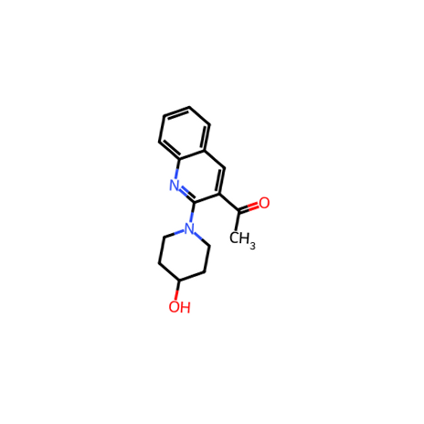 CC(=O)c1cc2ccccc2nc1N1CCC(O)CC1